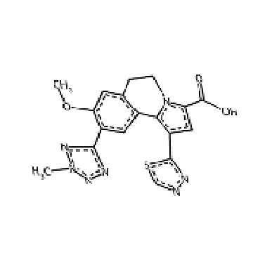 COc1cc2c(cc1-c1nnn(C)n1)-c1c(-c3nncs3)cc(C(=O)O)n1CC2